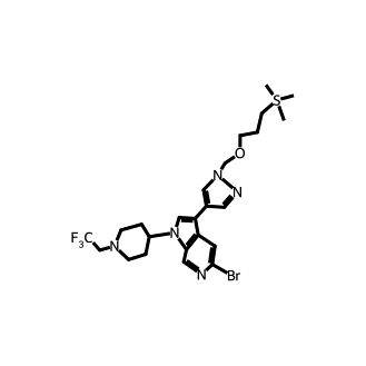 CS(C)(C)CCCOCn1cc(-c2cn(C3CCN(CC(F)(F)F)CC3)c3cnc(Br)cc23)cn1